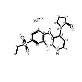 CCS(=O)(=O)c1ccc(OC2CNCCC2N2CCCC2=O)c(F)c1.Cl